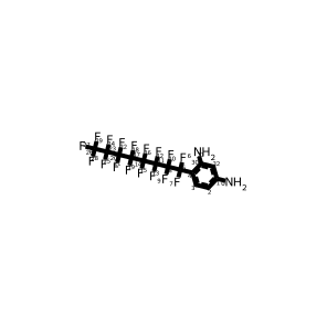 Nc1ccc(C(F)(F)C(F)(F)C(F)(F)C(F)(F)C(F)(F)C(F)(F)C(F)(F)C(F)(F)F)c(N)c1